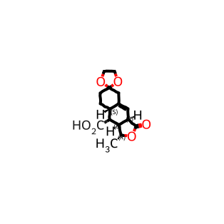 C[C@H]1OC(=O)[C@@H]2C=C3CC4(CC[C@H]3C(C(=O)O)[C@H]12)OCCO4